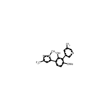 COc1ccc(-c2cc(C(F)(F)F)nn2C)c(O)c1-c1cncc(C(F)(F)F)c1